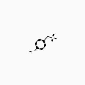 COc1ccc(CS(=O)(=O)O)cc1